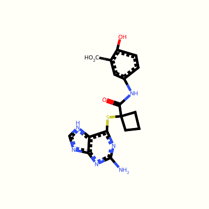 Nc1nc(SC2(C(=O)Nc3ccc(O)c(C(=O)O)c3)CCC2)c2[nH]cnc2n1